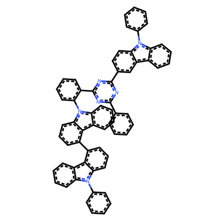 c1ccc(-c2nc(-c3ccc4c(c3)c3ccccc3n4-c3ccccc3)nc(-c3ccccc3-n3c4ccccc4c4c(-c5cccc6c5c5ccccc5n6-c5ccccc5)cccc43)n2)cc1